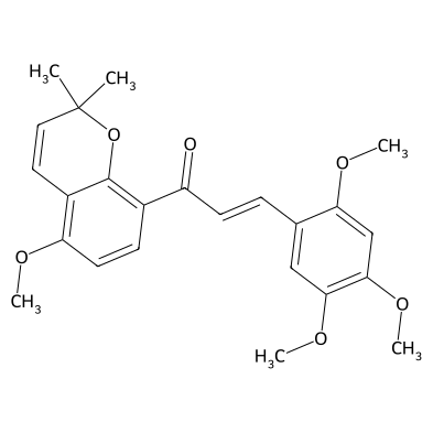 COc1cc(OC)c(OC)cc1/C=C/C(=O)c1ccc(OC)c2c1OC(C)(C)C=C2